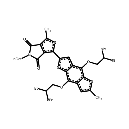 CCCCCCCCN1C(=O)c2c(C)sc(-c3cc4c(OCC(CC)CCC)c5sc(C)cc5c(OCC(CC)CCC)c4s3)c2C1=O